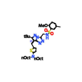 CCCCCCCCN(CCCCCCCC)c1ccc(/C=c2/c(C(C)(C)C)nn3c(CNS(=O)(=O)c4cc(C)ccc4OC)nnc23)s1